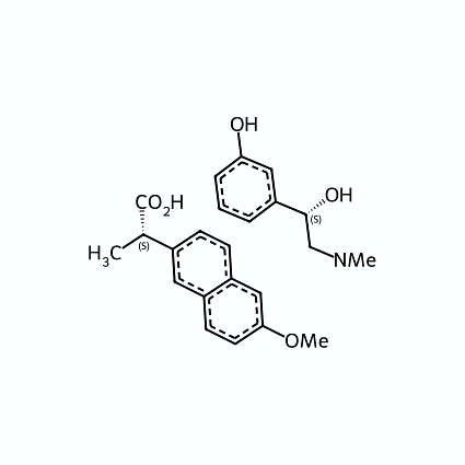 CNC[C@@H](O)c1cccc(O)c1.COc1ccc2cc([C@H](C)C(=O)O)ccc2c1